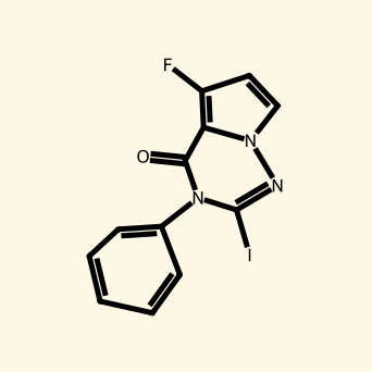 O=c1c2c(F)ccn2nc(I)n1-c1ccccc1